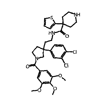 COc1cc(C(=O)N2CCC(CCNC(=O)C3(c4cccs4)CCNCC3)(c3ccc(Cl)c(Cl)c3)C2)cc(OC)c1OC